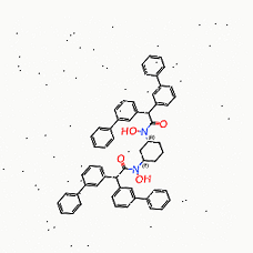 O=C(C(c1cccc(-c2ccccc2)c1)c1cccc(-c2ccccc2)c1)N(O)[C@@H]1CCC[C@@H](N(O)C(=O)C(c2cccc(-c3ccccc3)c2)c2cccc(-c3ccccc3)c2)C1